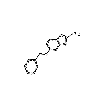 O=Cc1cc2ccc(OCc3ccccc3)cc2s1